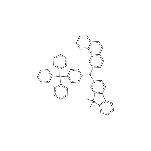 C[Si]1(C)c2ccccc2-c2ccc(N(c3ccc(C4(c5ccccc5)c5ccccc5-c5ccccc54)cc3)c3ccc4ccc5ccccc5c4c3)cc21